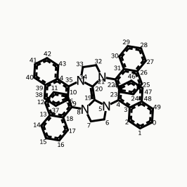 c1ccc2c(N3CCN(c4cccc5ccccc45)C3=C3N(c4cccc5ccccc45)CCN3c3cccc4ccccc34)cccc2c1